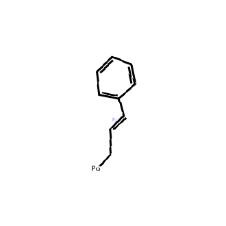 [Pd][CH2]/C=C/c1ccccc1